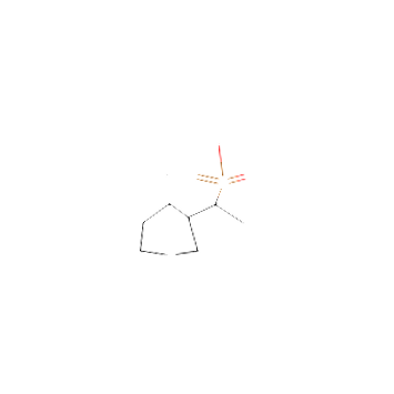 CC(C1CCCCC1)S(=O)([O-])=S.[Na+]